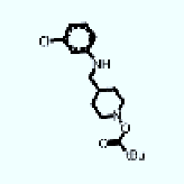 CC(C)(C)C(=O)ON1CCC(CNc2cccc(Cl)c2)CC1